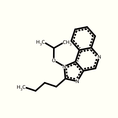 CCCCc1nc2cnc3ccccc3c2n1OC(C)C